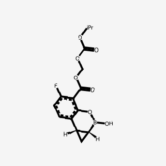 CC(C)OC(=O)OCOC(=O)c1c(F)ccc2c1OB(O)[C@@H]1C[C@H]21